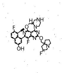 C#Cc1c(F)ccc2cc(O)cc(-c3nc4c5c(nc(OC[C@@]67CCCN6C[C@H](F)C7)nc5c3F)N3CCNC[C@H]3CO4)c12